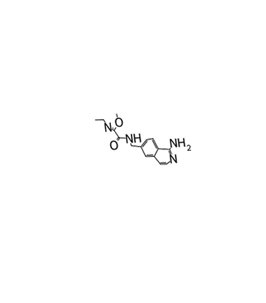 CC/N=C(\OC)C(=O)NCc1ccc2c(N)nccc2c1